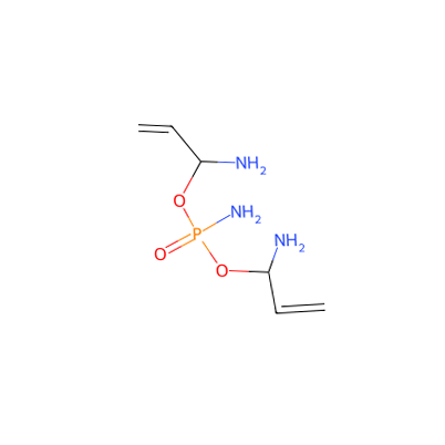 C=CC(N)OP(N)(=O)OC(N)C=C